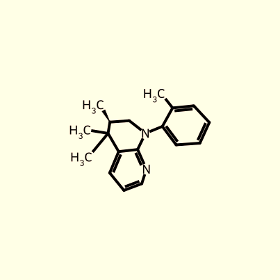 Cc1ccccc1N1C[C@H](C)C(C)(C)c2cccnc21